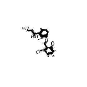 NC(CCO)c1cccc(OCc2c(Cl)cccc2Cl)c1